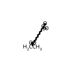 C=C(C)C(=O)OCCCCCCCCCC(OP=O)P=O